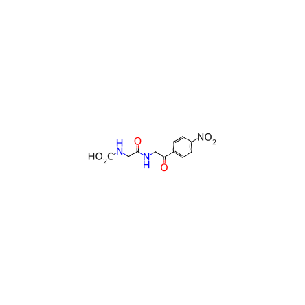 O=C(O)NCC(=O)NCC(=O)c1ccc([N+](=O)[O-])cc1